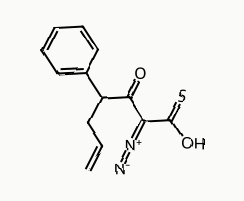 C=CCC(C(=O)C(=[N+]=[N-])C(O)=S)c1ccccc1